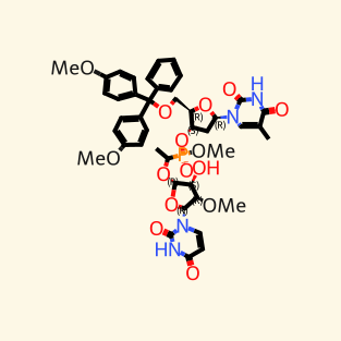 COc1ccc(C(OC[C@H]2O[C@@H](n3cc(C)c(=O)[nH]c3=O)C[C@@H]2OP(=O)(OC)C(C)O[C@H]2O[C@@H](n3ccc(=O)[nH]c3=O)[C@H](OC)[C@@H]2O)(c2ccccc2)c2ccc(OC)cc2)cc1